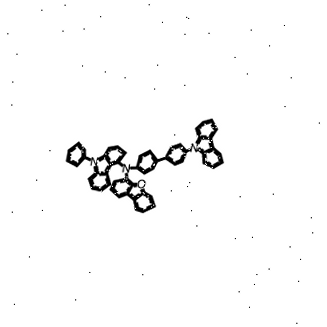 c1ccc(-n2c3ccccc3c3c(N(c4ccc(-c5ccc(-n6c7ccccc7c7ccccc76)cc5)cc4)c4cccc5c4oc4ccccc45)cccc32)cc1